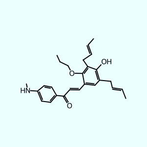 CC=CCc1cc(C=CC(=O)c2ccc(NC)cc2)c(OCCC)c(CC=CC)c1O